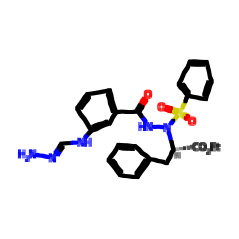 CCOC(=O)[C@H](Cc1ccccc1)N(NC(=O)c1cccc(NC=NN)c1)S(=O)(=O)c1ccccc1